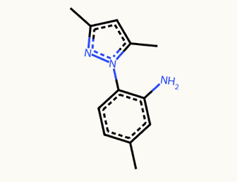 Cc1ccc(-n2nc(C)cc2C)c(N)c1